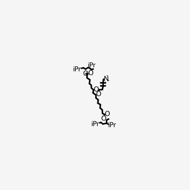 CC(C)CCC(C(C)C)C(C)OC(=O)CCCCCCCC(CCCCCCCC(=O)OC(C)C(CCC(C)C)C(C)C)OC(=O)CC(C)(C)C(C)(C)CN(C)C